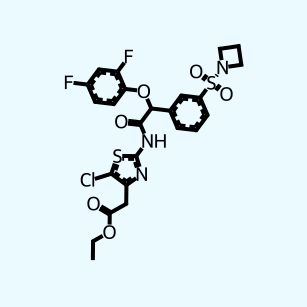 CCOC(=O)Cc1nc(NC(=O)C(Oc2ccc(F)cc2F)c2cccc(S(=O)(=O)N3CCC3)c2)sc1Cl